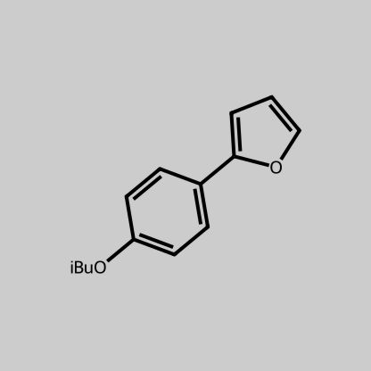 CC(C)COc1ccc(-c2ccco2)cc1